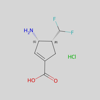 Cl.N[C@H]1C=C(C(=O)O)C[C@H]1C(F)F